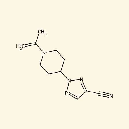 C=C(C)N1CCC(n2nc(C#N)cp2)CC1